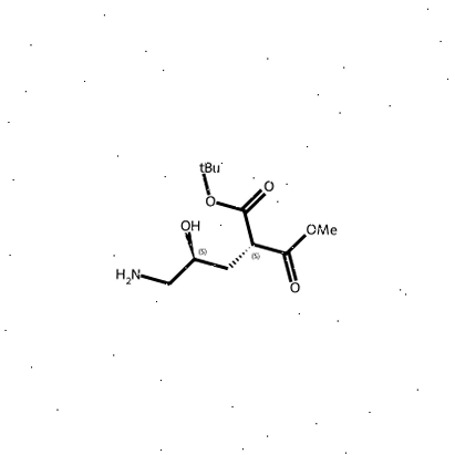 COC(=O)[C@H](C[C@H](O)CN)C(=O)OC(C)(C)C